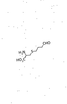 N[C@@H](CSCCCC=O)C(=O)O